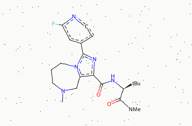 CNC(=O)[C@@H](NC(=O)c1nc(-c2ccnc(F)c2)n2c1CN(C)CCC2)C(C)(C)C